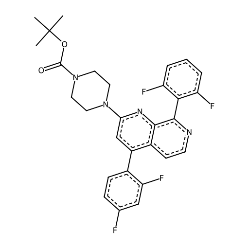 CC(C)(C)OC(=O)N1CCN(c2cc(-c3ccc(F)cc3F)c3ccnc(-c4c(F)cccc4F)c3n2)CC1